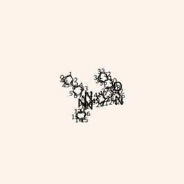 c1ccc(-c2ccc(-c3nc(-c4ccccc4)nc(-c4ccc(-c5cncc6oc7cc8ccccc8cc7c56)cc4)n3)cc2)cc1